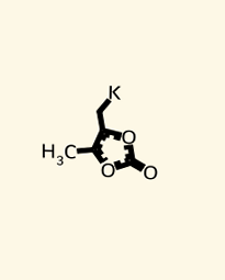 Cc1oc(=O)oc1[CH2][K]